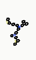 c1ccc(N(c2ccc(-c3ccc4c(c3)c3cc(-c5ccc(-c6ccc7sc8ccccc8c7c6)cc5)ccc3n4-c3ccc4c5ccccc5c5ccccc5c4c3)cc2)c2ccc(-c3cccc4c3sc3ccccc34)cc2)cc1